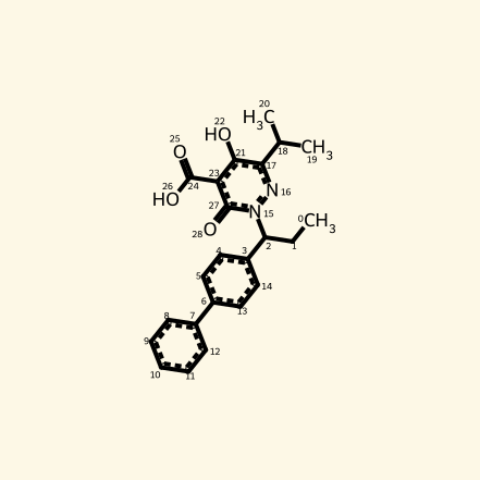 CCC(c1ccc(-c2ccccc2)cc1)n1nc(C(C)C)c(O)c(C(=O)O)c1=O